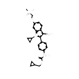 C[C@@H](OC(=O)Nc1ccc(-c2c(N)c3ccc(OCS(C)(=O)=O)cc3n2C2CC2)cc1)C1CC1